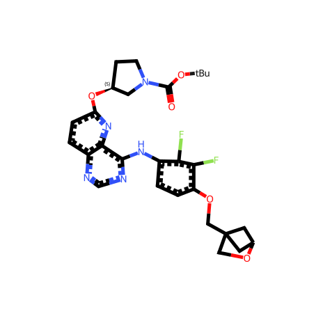 CC(C)(C)OC(=O)N1CC[C@H](Oc2ccc3ncnc(Nc4ccc(OCC56COC(C5)C6)c(F)c4F)c3n2)C1